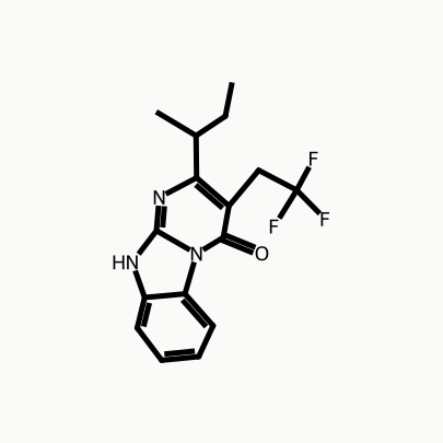 CCC(C)c1nc2[nH]c3ccccc3n2c(=O)c1CC(F)(F)F